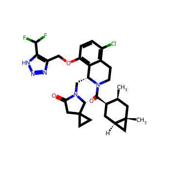 C[C@H]1C[C@]2(C)C[C@H]2C[C@H]1C(=O)N1CCc2c(Cl)ccc(OCc3nn[nH]c3C(F)F)c2[C@H]1CN1CC2(CC2)CC1=O